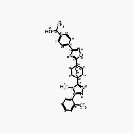 Cn1c(-c2ccccc2C(F)(F)F)nnc1C12CCC(c3nc(-c4ccc(C(O)C(F)(F)F)cc4)no3)(CC1)CC2